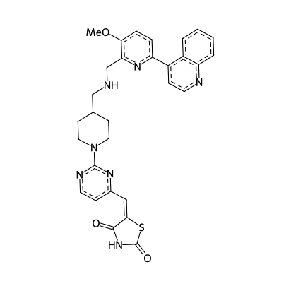 COc1ccc(-c2ccnc3ccccc23)nc1CNCC1CCN(c2nccc(/C=C3/SC(=O)NC3=O)n2)CC1